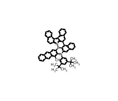 Cc1c2c(cc3cc4ccccc4cc13)B1c3c(cc4ccccc4c3-c3cc4ccccc4c4c5c6ccccc6ccc5n1c34)N2c1cc(C(C)(C)C)cc(C(C)(C)C)c1